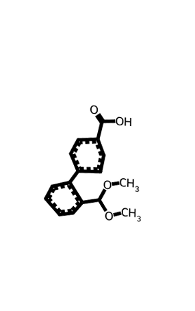 COC(OC)c1ccccc1-c1ccc(C(=O)O)cc1